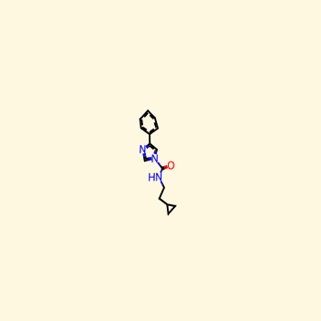 O=C(NCCC1CC1)n1cnc(-c2ccccc2)c1